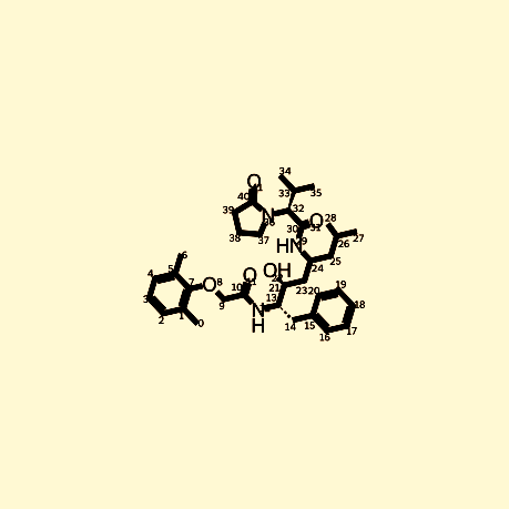 Cc1cccc(C)c1OCC(=O)N[C@@H](Cc1ccccc1)[C@@H](O)CC(CC(C)C)NC(=O)[C@H](C(C)C)N1CCCC1=O